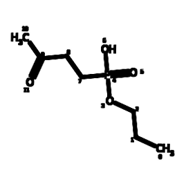 CCCOP(=O)(O)CCC(C)=O